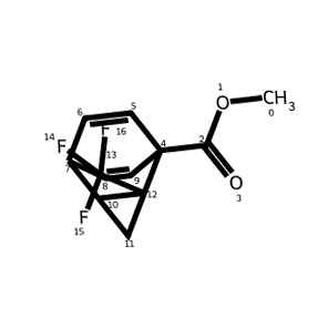 COC(=O)C12C=CC(C=C1)C1CC12C(F)(F)F